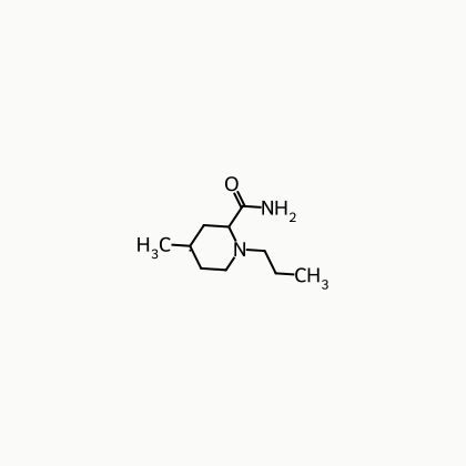 CCCN1CC[C](C)CC1C(N)=O